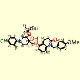 COc1ccc(CN2C(=O)CCc3c(OC[C@]4(O)CCN(c5ccc(Cl)cc5F)C[C@H]4O[Si](C)(C)C(C)(C)C)ccc(F)c32)cc1